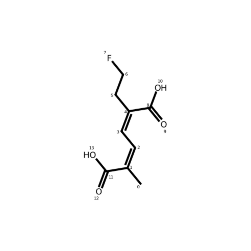 CC(=CC=C(CCF)C(=O)O)C(=O)O